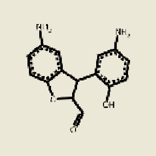 Nc1ccc(O)c(C2c3cc(N)ccc3OC2C=O)c1